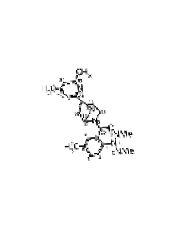 CNN(NC)c1ccc(C)cc1C(=O)N1CC2CCC1CN2c1nc(C)cc(C)n1